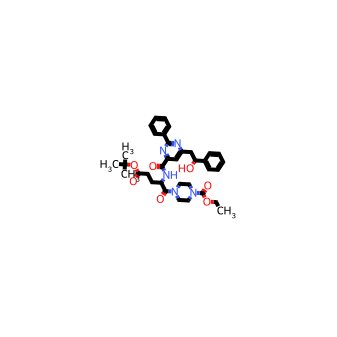 CCOC(=O)N1CCN(C(=O)C(CCC(=O)OC(C)(C)C)NC(=O)c2cc(CC(O)c3ccccc3)nc(-c3ccccc3)n2)CC1